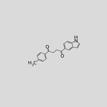 Cc1ccc(C(=O)CCC(=O)c2ccc3[nH]ccc3c2)cc1